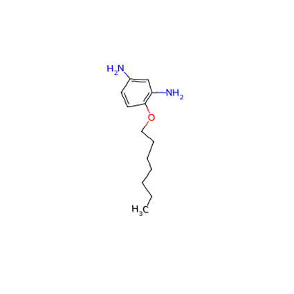 CCCCCCCOc1ccc(N)cc1N